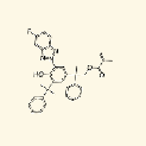 C=C(C)C(=O)OCC(C)(c1ccccc1)c1cc(-n2nc3ccc(F)cc3n2)c(O)c(C(C)(C)c2ccccc2)c1